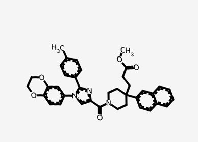 COC(=O)CCC1(c2ccc3ccccc3c2)CCN(C(=O)c2cn(-c3ccc4c(c3)OCCO4)c(-c3ccc(C)cc3)n2)CC1